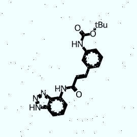 CC(C)(C)OC(=O)Nc1cccc(C=CC(=O)Nc2cccc3[nH]nnc23)c1